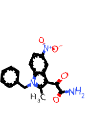 Cc1c(C(=O)C(N)=O)c2cc([N+](=O)[O-])ccc2n1Cc1ccccc1